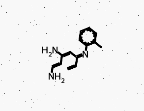 C=CC(/C=C(N)\C=C\N)=N/c1ccccc1C